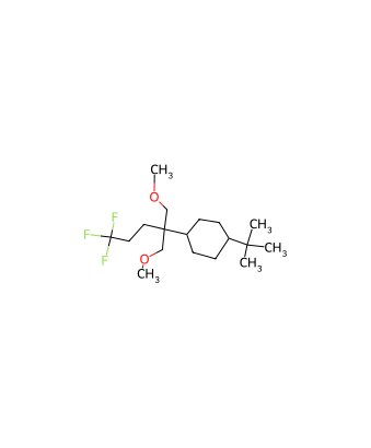 COCC(CCC(F)(F)F)(COC)C1CCC(C(C)(C)C)CC1